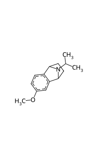 COc1ccc2c(c1)C1CCC2N1C(C)C